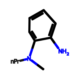 CCCN(C)c1ccccc1N